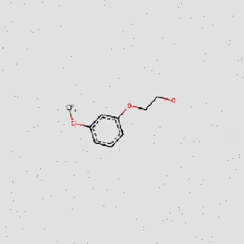 [O]CCOc1cccc(OC(F)(F)F)c1